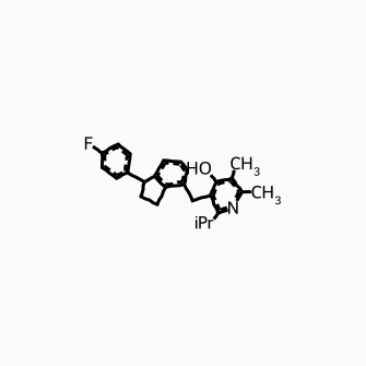 Cc1nc(C(C)C)c(Cc2cccc3c2CCC3c2ccc(F)cc2)c(O)c1C